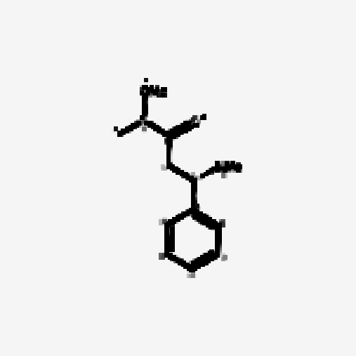 CN[C@@H](CC(=O)N(C)OC)c1ccccc1